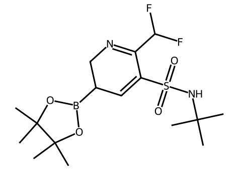 CC(C)(C)NS(=O)(=O)C1=CC(B2OC(C)(C)C(C)(C)O2)CN=C1C(F)F